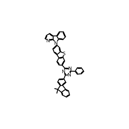 CC1(C)c2ccccc2-c2cc(-c3nc(-c4ccccc4)nc(-c4ccc5c(c4)sc4cc(-n6c7ccccc7c7cccnc76)ccc45)n3)ccc21